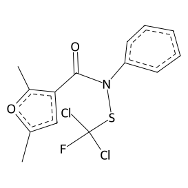 Cc1cc(C(=O)N(SC(F)(Cl)Cl)c2ccccc2)c(C)o1